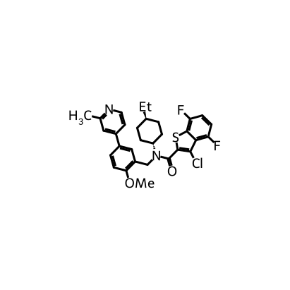 CC[C@H]1CC[C@H](N(Cc2cc(-c3ccnc(C)c3)ccc2OC)C(=O)c2sc3c(F)ccc(F)c3c2Cl)CC1